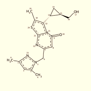 Cc1cc(C)n(Cc2cc(=O)n3c([C@@H]4C[C@H]4CO)c(C)sc3n2)n1